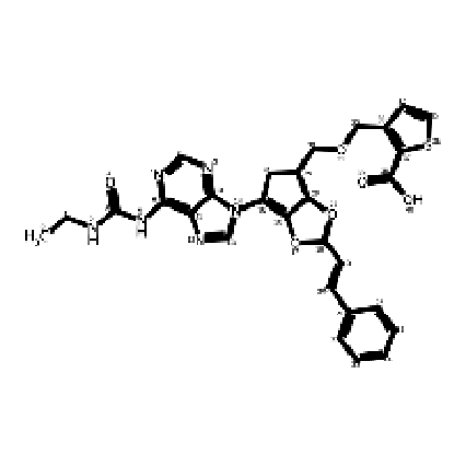 CCNC(=O)Nc1ncnc2c1ncn2C1=C2OC(C=Cc3ccccc3)OC2C(COCc2ccsc2C(=O)O)C1